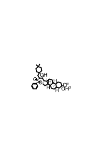 C[C@H](C(CC1(O)CCC(C)(C)CC1)S(=O)(=O)c1ccccc1)[C@H]1CC[C@H]2[C@@H]3CC[C@H]4C[C@](O)(C(F)(F)F)CC[C@]4(C)[C@H]3CC[C@]12C